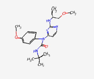 COC[C@H](C)Nc1nccc(N(C(=O)NC(C)(C)C)c2ccc(OC)cc2)n1